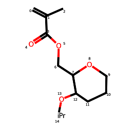 C=C(C)C(=O)OCC1OCCCC1OC(C)C